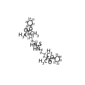 CC(C)(CCCCNC(=S)NCCCCC(C)(C)C(=O)Oc1ccccc1)C(=O)Oc1ccccc1